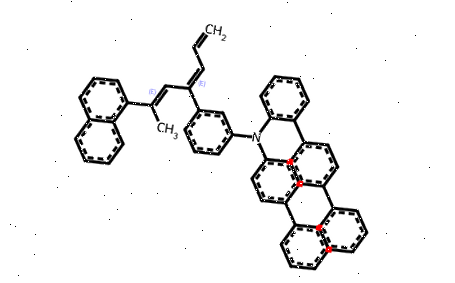 C=C/C=C(\C=C(/C)c1cccc2ccccc12)c1cccc(N(c2ccc(-c3ccccc3)cc2)c2ccccc2-c2ccc(-c3ccccc3)cc2)c1